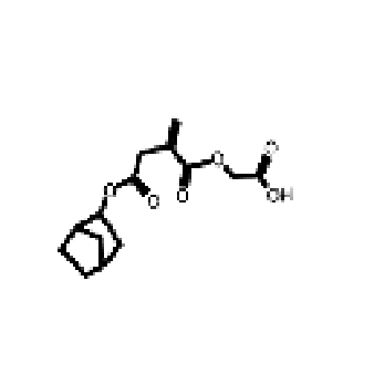 C=C(CC(=O)OC1CC2CCC1C2)C(=O)OCC(=O)O